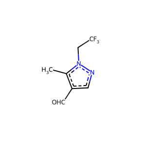 Cc1c(C=O)cnn1CC(F)(F)F